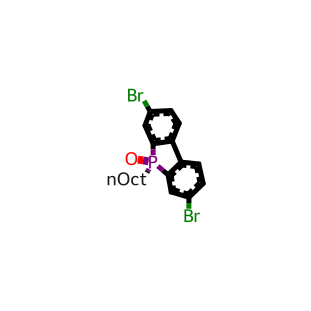 CCCCCCCCP1(=O)c2cc(Br)ccc2-c2ccc(Br)cc21